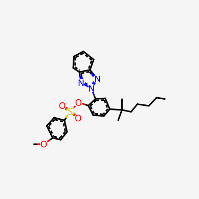 CCCCCC(C)(C)c1ccc(OS(=O)(=O)c2ccc(OC)cc2)c(-n2nc3ccccc3n2)c1